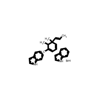 Br.CC=CC1(C)C=CC=C(C)C1C.c1ccc2[nH]ccc2c1.c1ccc2[nH]ccc2c1